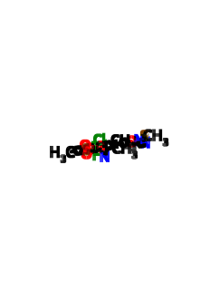 CSc1nccc(COc2ccc(C(C)(C)c3cc(Cl)c(OCC(F)(F)COS(=O)(=O)c4ccc(C)cc4)c(C#N)c3)cc2)n1